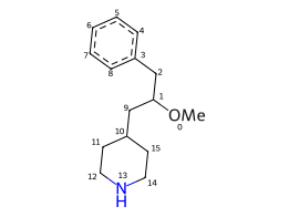 COC(Cc1ccccc1)CC1CCNCC1